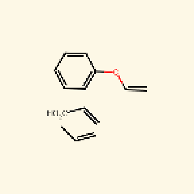 C=CC.C=CC(=O)O.C=COc1ccccc1